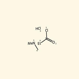 CCC(=O)Cl.CNC.Cl